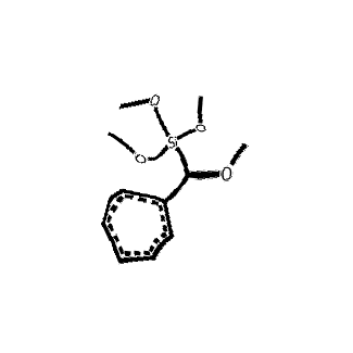 COC(c1ccccc1)[Si](OC)(OC)OC